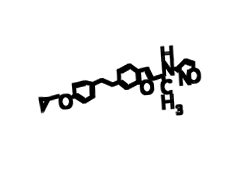 CC(Nc1ccon1)c1cc2ccc(CCc3ccc(OCC4CC4)cc3)cc2o1